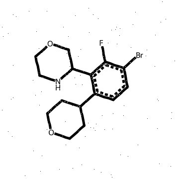 Fc1c(Br)ccc(C2CCOCC2)c1C1COCCN1